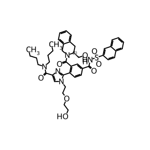 CCCCN(CCCC)C(=O)c1cn(CCOCCO)c(-c2ccc(C(=O)NS(=O)(=O)c3ccc4ccccc4c3)cc2C(=O)N2Cc3ccccc3C[C@H]2CO)n1